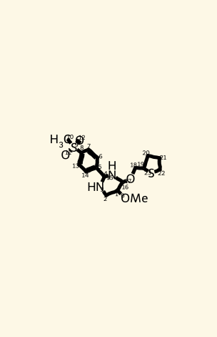 COC1CNC(c2ccc(S(C)(=O)=O)cc2)NC1OCC1CCCS1